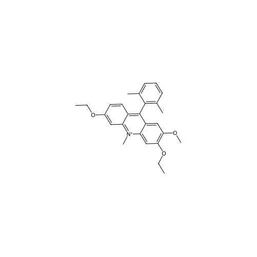 CCOc1ccc2c(-c3c(C)cccc3C)c3cc(OC)c(OCC)cc3[n+](C)c2c1